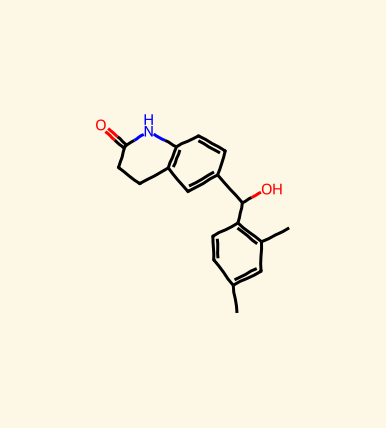 Cc1ccc(C(O)c2ccc3c(c2)CCC(=O)N3)c(C)c1